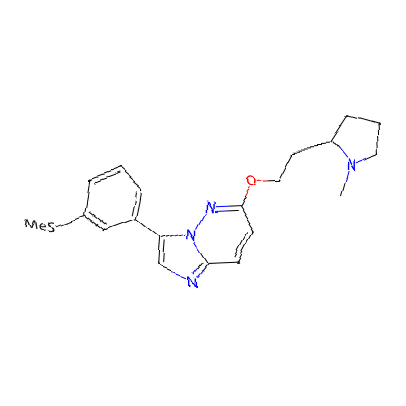 CSc1cccc(-c2cnc3ccc(OCCC4CCCN4C)nn23)c1